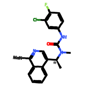 CNc1ncc([C@H](C)N(C)C(=O)Nc2ccc(F)c(Cl)c2)c2ccccc12